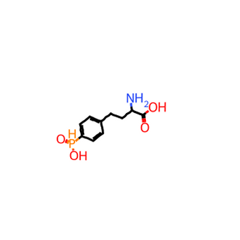 NC(CCc1ccc([PH](=O)O)cc1)C(=O)O